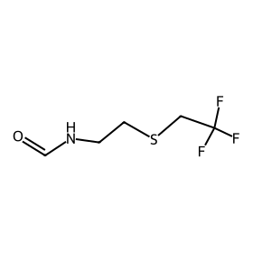 O=CNCCSCC(F)(F)F